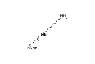 Br.CCCCCCCCCCCCSCCCCCCCCCCN